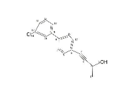 CC(O)C#Cc1ccc(-c2cccc(Cl)c2)cc1